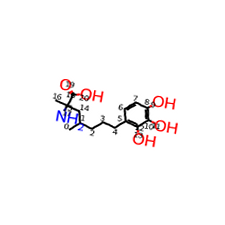 CC(CCCc1ccc(O)c(O)c1O)CC(C)(N)C(=O)O